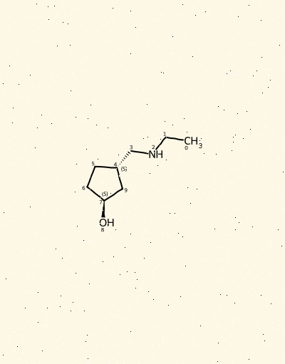 CCNC[C@H]1CC[C@H](O)C1